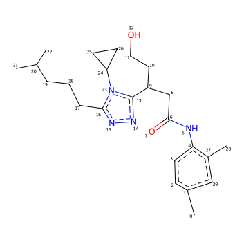 Cc1ccc(NC(=O)CC(CCO)c2nnc(CCCC(C)C)n2C2CC2)c(C)c1